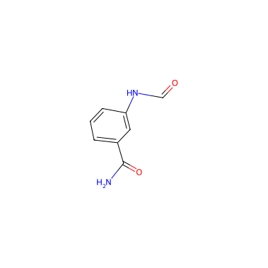 NC(=O)c1cccc(NC=O)c1